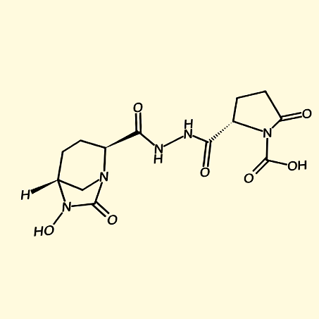 O=C(NNC(=O)[C@@H]1CCC(=O)N1C(=O)O)[C@@H]1CC[C@@H]2CN1C(=O)N2O